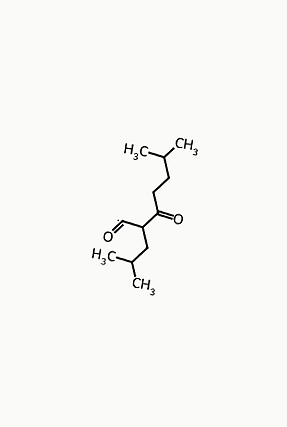 CC(C)CCC(=O)C([C]=O)CC(C)C